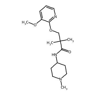 COc1cccnc1OCC(C)(C)C(=O)NC1CCN(C)CC1